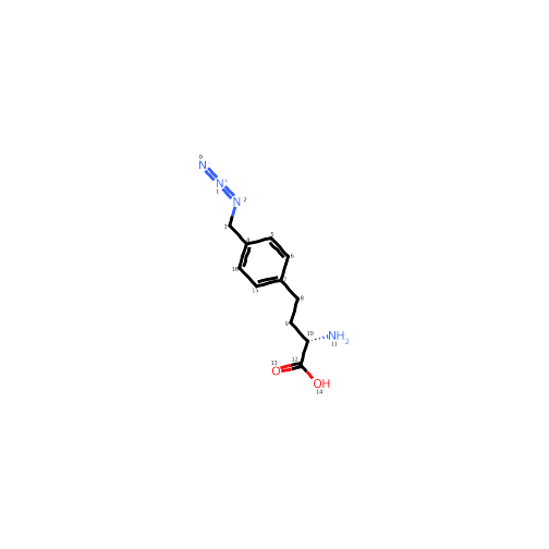 [N-]=[N+]=NCc1ccc(CC[C@H](N)C(=O)O)cc1